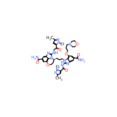 CCn1nc(C)cc1C(=O)CNc1nc2cc(C(N)=O)cc3c2n1[C@@H](CCCn1c(NC(=O)c2cc(C)nn2CC)nc2cc(C(N)=O)cc(OCCCN4CCOCC4)c21)CCO3